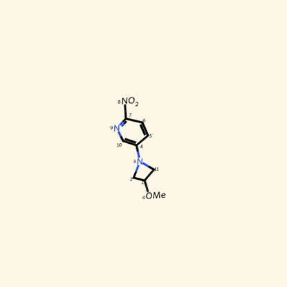 COC1CN(c2ccc([N+](=O)[O-])nc2)C1